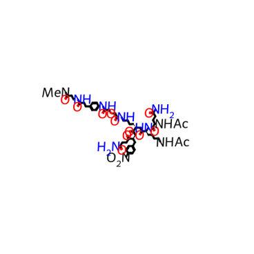 CNC(=O)CCNC(=O)CCc1ccc(NC(=O)COCC(=O)NCCCC[C@H](CC(=O)[C@H](CCCCNC(C)=O)NC(=O)[C@H](CCC(N)=O)NC(C)=O)C(=O)C[C@@H](Cc2ccc([N+](=O)[O-])cc2)C(=O)CCC(N)=O)cc1